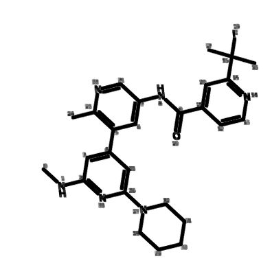 CNc1cc(-c2cc(NC(=O)c3ccnc(C(C)(C)F)c3)cnc2C)cc(N2CCCCC2)n1